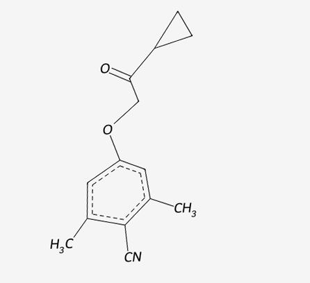 Cc1cc(OCC(=O)C2CC2)cc(C)c1C#N